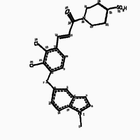 Cn1ccc2cc(Sc3ccc(C=CC(=O)N4CCC(S(=O)(=O)O)CC4)c(Cl)c3Cl)ccc21